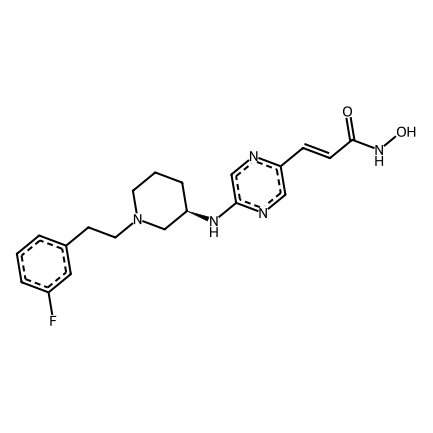 O=C(C=Cc1cnc(N[C@@H]2CCCN(CCc3cccc(F)c3)C2)cn1)NO